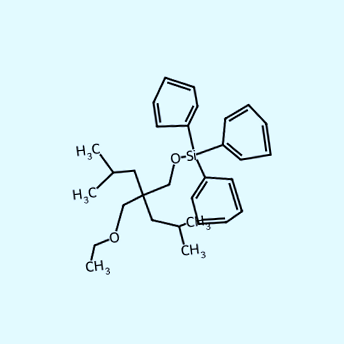 CCOCC(CO[Si](c1ccccc1)(c1ccccc1)c1ccccc1)(CC(C)C)CC(C)C